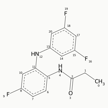 CCC(=O)Nc1ccc(F)cc1Nc1cc(F)cc(F)c1